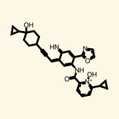 N=C1C=C(c2ncco2)C(NC(=O)c2cccc(C3CC3)[n+]2O)=C/C1=C/C#CC1CCC(O)(C2CC2)CC1